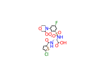 COc1c(N2CCOCC2=O)cc(F)cc1S(=O)(=O)N[C@@H](CNC(=O)c1ccc(Cl)s1)C(=O)O